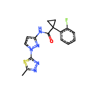 Cc1nnc(-n2ccc(NC(=O)C3(c4ccccc4F)CC3)n2)s1